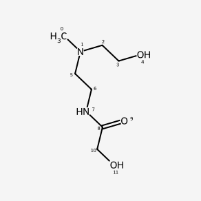 CN(CCO)CCNC(=O)CO